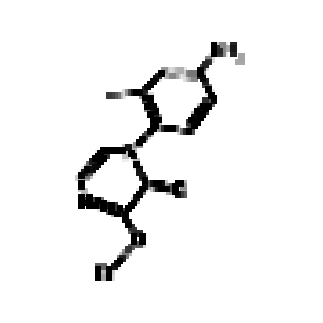 CCOc1nccn(-c2ccc(N)cc2C)c1=O